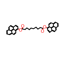 O=C(CCCCCCCCC(=O)Oc1ccc2ccc3cccc4ccc1c2c34)Oc1ccc2ccc3cccc4ccc1c2c34